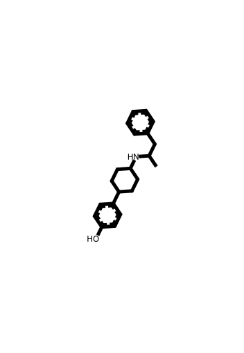 CC(Cc1ccccc1)NC1CCC(c2ccc(O)cc2)CC1